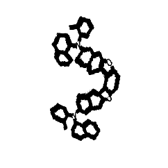 Cc1ccccc1N(c1ccc2cc3c(cc2c1)oc1ccc2oc4cc5cc(N(c6ccccc6C)c6cccc7ccccc67)ccc5cc4c2c13)c1cccc2ccccc12